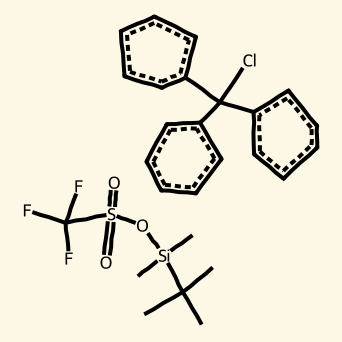 CC(C)(C)[Si](C)(C)OS(=O)(=O)C(F)(F)F.ClC(c1ccccc1)(c1ccccc1)c1ccccc1